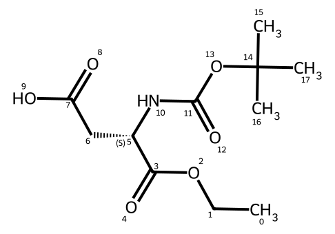 CCOC(=O)[C@H](CC(=O)O)NC(=O)OC(C)(C)C